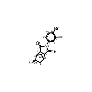 Cc1cc(N2C(=O)C3C4CC(=O)C(C4)C3C2=O)ccc1Br